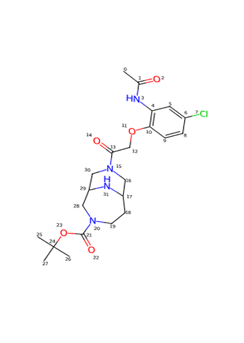 CC(=O)Nc1cc(Cl)ccc1OCC(=O)N1CC2CCN(C(=O)OC(C)(C)C)CC(C1)N2